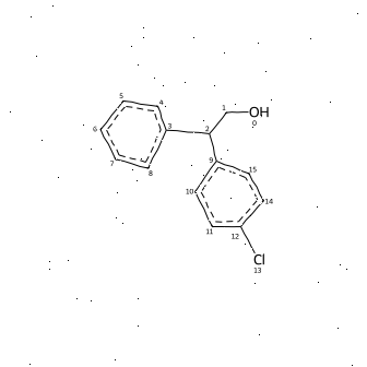 OCC(c1ccccc1)c1ccc(Cl)cc1